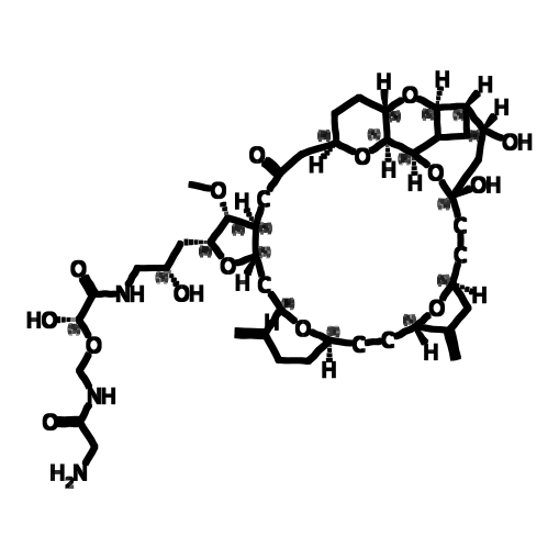 C=C1C[C@@H]2CC[C@@]3(O)C[C@@H](O)[C@@H]4CC5[C@H]4O[C@H]4CC[C@H](CC(=O)C[C@@H]6[C@@H](OC)[C@@H](C[C@H](O)CNC(=O)[C@@H](O)OCNC(=O)CN)O[C@H]6C[C@H]6O[C@H](CCC6=C)CC[C@@H]1O2)O[C@@H]4[C@@H]5O3